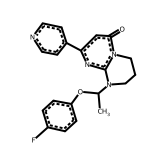 CC(Oc1ccc(F)cc1)N1CCCn2c1nc(-c1ccncc1)cc2=O